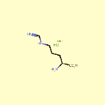 Cl.Cl.N=CNCCC[C@H](N)C(=O)O